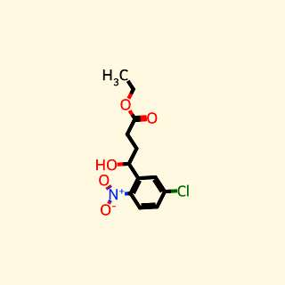 CCOC(=O)CCC(O)c1cc(Cl)ccc1[N+](=O)[O-]